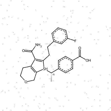 C[C@@H](c1ccc(C(=O)O)cc1)[SH]1C2=C(CCOC2)C(C(N)=O)=C1CCc1cccc(F)c1